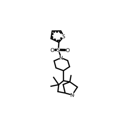 CC1(C)CC2CC(C)(C[N]2)C1C1CCN(S(=O)(=O)c2cccs2)CC1